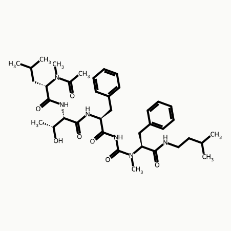 CC(=O)N(C)[C@@H](CC(C)C)C(=O)N[C@H](C(=O)N[C@@H](Cc1ccccc1)C(=O)NC(=O)N(C)[C@@H](Cc1ccccc1)C(=O)NCCC(C)C)[C@@H](C)O